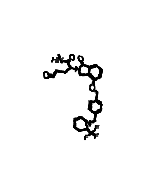 CNC(=O)C(CCC=O)N1Cc2c(OCc3ccc(CN4CCCCC4C(F)(F)F)cc3)cccc2C1=O